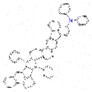 c1ccc(-c2c3c(c(-c4ccccc4)c4c2ccc2c5cc6c(cc5ccc24)-c2ccc(N(c4ccccc4)c4ccccc4)c4cccc-6c24)-c2cccc4c2c-3cc2ccccc24)cc1